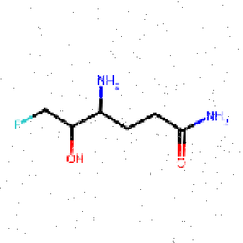 NC(=O)CCC(N)C(O)CF